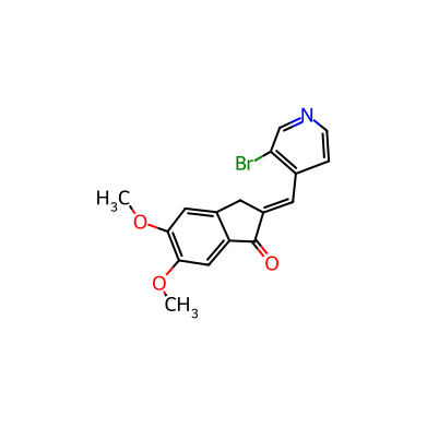 COc1cc2c(cc1OC)C(=O)/C(=C/c1ccncc1Br)C2